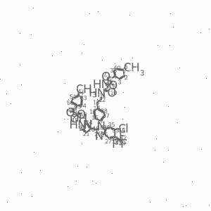 Cc1ccc(S(=O)(=O)NC(=O)NCCc2ccc(-n3c(-c4cc[nH]n4)nc4cc(C(F)(F)F)c(Cl)cc43)cc2)cc1.Cc1ccc(S(=O)(=O)O)cc1